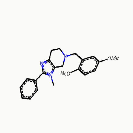 COc1ccc(OC)c(CN2CCc3nc(-c4ccccc4)n(C)c3C2)c1